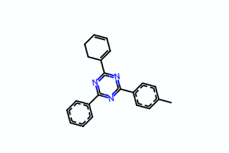 Cc1ccc(-c2nc(C3=CC=CCC3)nc(-c3ccccc3)n2)cc1